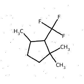 CC1[CH]CC(C)(C)C1C(F)(F)F